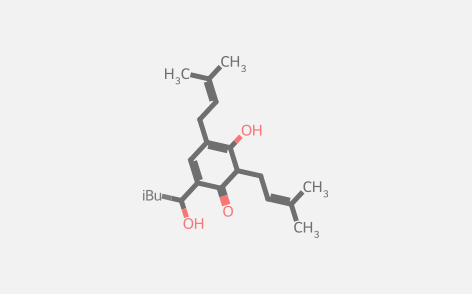 CCC(C)C(O)C1=CC(CC=C(C)C)=C(O)C(CC=C(C)C)C1=O